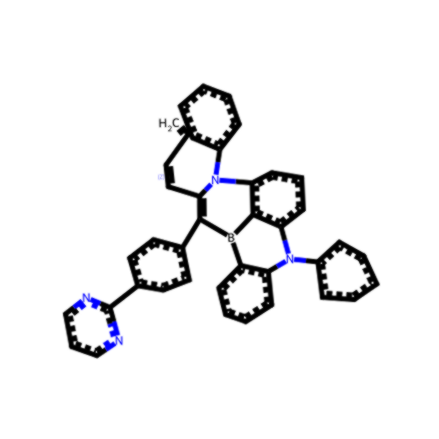 C=C/C=C\C1=C(c2ccc(-c3ncccn3)cc2)B2c3ccccc3N(c3ccccc3)c3cccc(c32)N1c1ccccc1